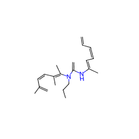 C=C/C=C\C=C(/C)NC(=C)N(CCC)/C(C)=C(C)/C=C\C(=C)C